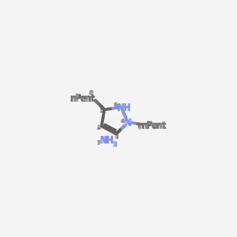 CCCCCC1C=CN(CCCCC)N1.N